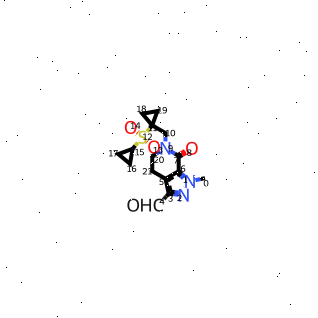 Cn1nc(C=O)c2c1C(=O)N(CC1(S(=O)(=O)C3CC3)CC1)CC2